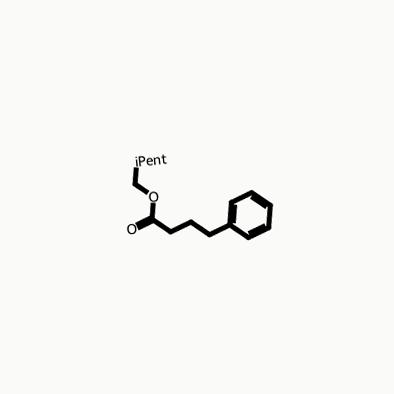 CCCC(C)COC(=O)CCCc1ccccc1